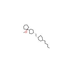 CCCCC[C@H]1CC[C@H](CC[C@H]2CC[C@H](C3(OC)CCCCC3)CC2)CC1